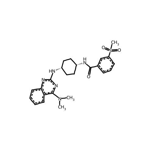 CN(C)c1nc(N[C@H]2CC[C@@H](NC(=O)c3cccc(S(C)(=O)=O)c3)CC2)nc2ccccc12